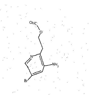 Nc1cc(Br)cnc1CCOC=O